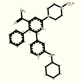 NC(=O)c1cc(N2CCN(C(=O)O)CC2)nc(-c2ccnc(NC3CCCCC3)c2)c1-c1ccccc1